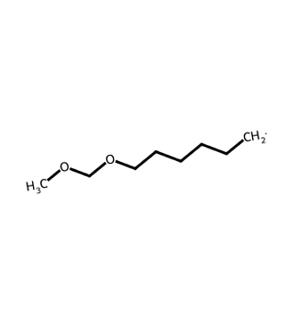 [CH2]CCCCCOCOC